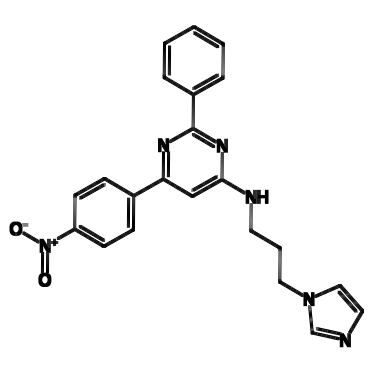 O=[N+]([O-])c1ccc(-c2cc(NCCCn3ccnc3)nc(-c3ccccc3)n2)cc1